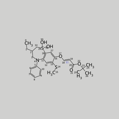 CCC1CN(c2ccccc2)c2cc(SC)c(O/C=C/C(=O)OC(C)(C)C)cc2S(O)(O)C1